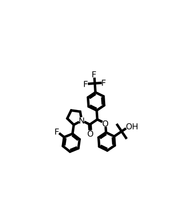 CC(C)(O)c1ccccc1OC(C(=O)N1CCCC1c1ccccc1F)c1ccc(C(F)(F)F)cc1